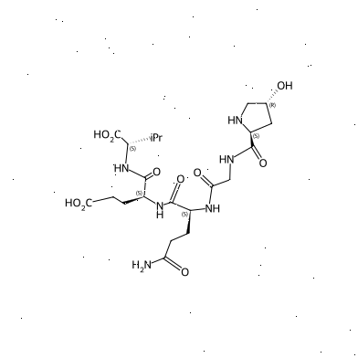 CC(C)[C@H](NC(=O)[C@H](CCC(=O)O)NC(=O)[C@H](CCC(N)=O)NC(=O)CNC(=O)[C@@H]1C[C@@H](O)CN1)C(=O)O